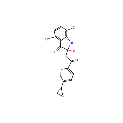 O=C(CC1(O)Nc2c(Cl)ccc(Cl)c2C1=O)c1ccc(C2CC2)cc1